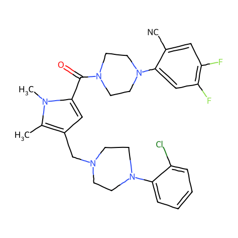 Cc1c(CN2CCN(c3ccccc3Cl)CC2)cc(C(=O)N2CCN(c3cc(F)c(F)cc3C#N)CC2)n1C